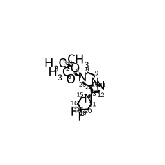 CC(C)(C)OC(=O)N1CCn2ncc(N3CCC(F)(F)CC3)c2C1